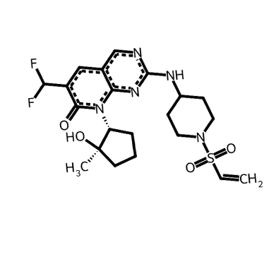 C=CS(=O)(=O)N1CCC(Nc2ncc3cc(C(F)F)c(=O)n([C@@H]4CCC[C@@]4(C)O)c3n2)CC1